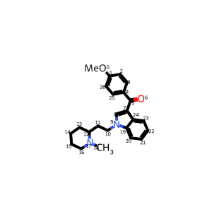 COc1ccc(C(=O)c2cn(CCC3CCCCN3C)c3ccccc23)cc1